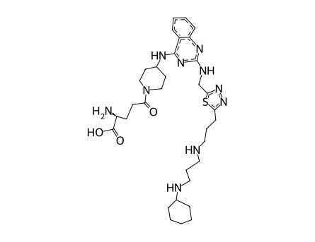 N[C@@H](CCC(=O)N1CCC(Nc2nc(NCc3nnc(CCCNCCCNC4CCCCC4)s3)nc3ccccc23)CC1)C(=O)O